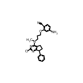 CN(CCCOc1cc(N)ccc1C#N)c1nc(Cl)nc2c1CCC2c1ccccc1